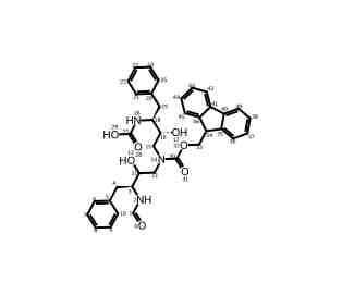 O=CN[C@@H](Cc1ccccc1)C(O)CN(C[C@@H](O)[C@H](Cc1ccccc1)NC(=O)O)C(=O)OCC1c2ccccc2-c2ccccc21